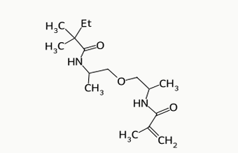 C=C(C)C(=O)NC(C)COCC(C)NC(=O)C(C)(C)CC